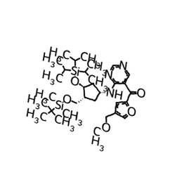 COCc1coc(C(=O)c2cncnc2N[C@@H]2C[C@H](CO[Si](C)(C)C(C)(C)C)[C@@H](O[Si](C(C)C)(C(C)C)C(C)C)C2)c1